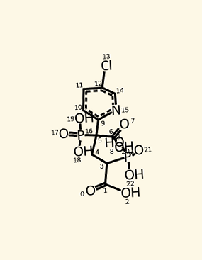 O=C(O)C(CC(C(=O)O)(c1ccc(Cl)cn1)P(=O)(O)O)P(=O)(O)O